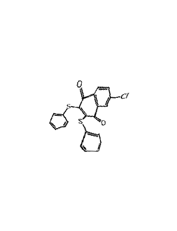 O=C1C(Sc2ccccc2)=C(Sc2ccccc2)C(=O)c2cc(Cl)ccc21